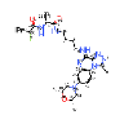 Cc1nnc2c(NCCCCNC(=O)[C@@H](NC(=O)[C@@H](F)C(C)C)C(C)C)nc3cc(N4C[C@@H](C)O[C@@H](C)C4)ccc3n12